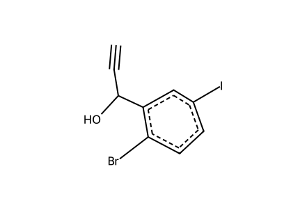 C#CC(O)c1cc(I)ccc1Br